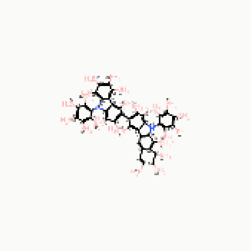 B/C=C/c1cc2c3c(B)c(-c4c(B)c(B)c5c(c4B)c4c(B)c(B)c(B)c(B)c4n5-c4c(B)c(B)c(B)c(B)c4B)c(B)c(B)c3n(-c3c(B)c(B)c(B)c(B)c3B)c2c(B)c1C(B)CB